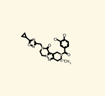 C[C@@H]1Cc2nn3c(c2CN1C(=O)c1ccc(Cl)c(Cl)c1)C(=O)N(Cc1noc(C2CC2)n1)CC3